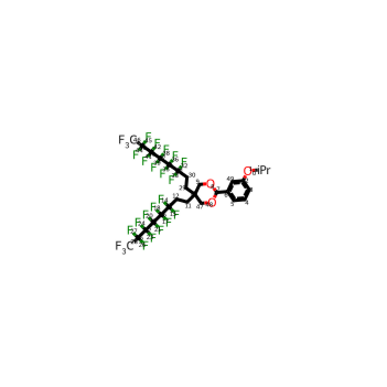 CC(C)Oc1cccc(C2OCC(CCC(F)(F)C(F)(F)C(F)(F)C(F)(F)C(F)(F)C(F)(F)F)(CCC(F)(F)C(F)(F)C(F)(F)C(F)(F)C(F)(F)C(F)(F)F)CO2)c1